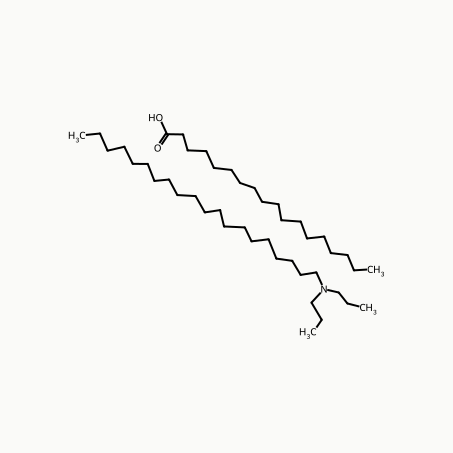 CCCCCCCCCCCCCCCCCC(=O)O.CCCCCCCCCCCCCCCCCCCCN(CCC)CCC